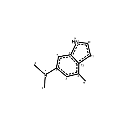 Cc1cc(N(C)C)cc2[nH]c[c]c12